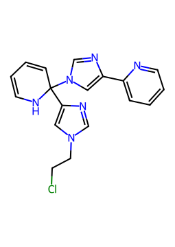 ClCCn1cnc(C2(n3cnc(-c4ccccn4)c3)C=CC=CN2)c1